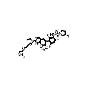 CCN(OCCOCCN)c1ncc2cc(-c3c(F)ccc(NS(=O)(=O)N4CC[C@@H](F)C4)c3F)c(=O)n(C)c2n1.Cl